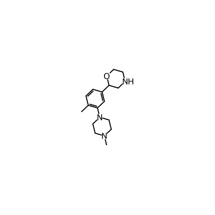 Cc1ccc(C2CNCCO2)cc1N1CCN(C)CC1